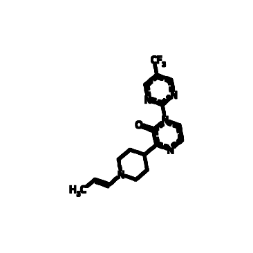 CC=CN1CCC(c2nccn(-c3ncc(C(F)(F)F)cn3)c2=O)CC1